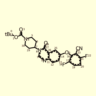 CC(C)(C)OC(=O)N1CCC(n2cnc3ccc(Oc4c(F)ccc(F)c4C#N)cc3c2=O)CC1